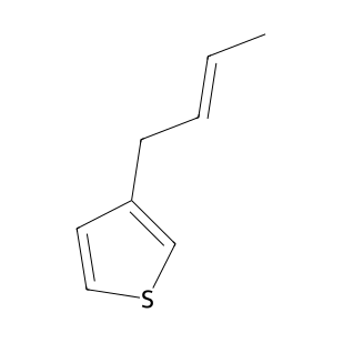 C/C=C/Cc1ccsc1